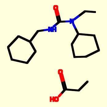 CCC(=O)O.CCN(C(=O)NCC1CCCCC1)C1CCCCC1